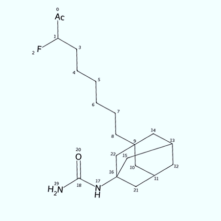 CC(=O)C(F)CCCCCCC12CC3CC(C1)CC(NC(N)=O)(C3)C2